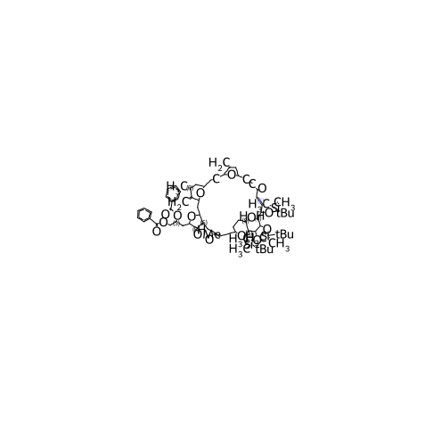 C=C1CC2CCC(=O)/C=C/C(O[Si](C)(C)C(C)(C)C)[C@@H]3O[C@H]4CCC(CC(=O)C[C@H]5C(CC6OC(CCC1O2)C[C@@H](C)C6=C)OC(C[C@@H](COC(=O)c1ccccc1)OC(=O)c1ccccc1)[C@@H]5OC)O[C@@H]4C(O[Si](C)(C)C(C)(C)C)C3O[Si](C)(C)C(C)(C)C